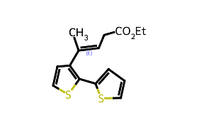 CCOC(=O)C/C=C(\C)c1ccsc1-c1cccs1